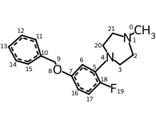 CN1CCN(c2cc(OCc3ccccc3)ccc2F)CC1